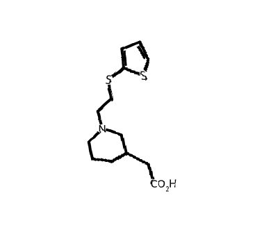 O=C(O)CC1CCCN(CCSc2cccs2)C1